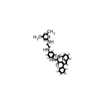 Cc1cc(C)nc(NCCNc2ccc(NC(=O)C(=O)c3c(-c4ccccc4)cc4cccc(C)n34)cc2)c1